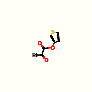 CCC(=O)C(=O)Oc1ccsc1